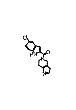 O=C(c1cc2cc(Cl)ccc2[nH]1)N1CCC2=C(CC=N2)C1